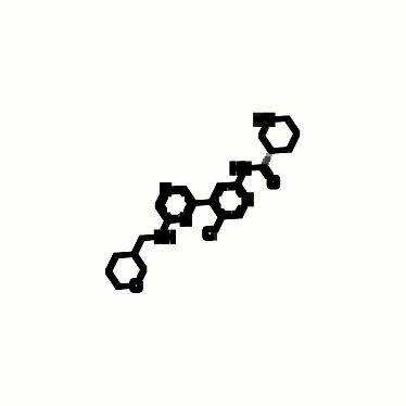 O=C(Nc1cc(-c2cncc(NCC3CCCOC3)n2)c(Cl)cn1)[C@H]1CCCNC1